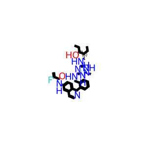 C=C(F)C(=O)Nc1ccc2c(-c3ccccc3CN/C(=N/C(=N)NC[C@@H](CC)[C@@H](O)CC)NNC)nccc2c1